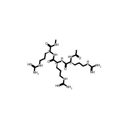 CNC(=O)[C@H](CCCNC(=N)N)NC(=O)[C@H](CCCNC(=N)N)NC(=O)[C@H](CCCNC(=N)N)NC(C)=O